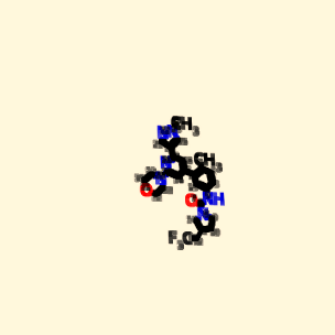 Cc1ccc(NC(=O)N2CC[C@@H](CC(F)(F)F)C2)cc1-c1cc(-c2cnn(C)c2)nc(N2CCOCC2)c1